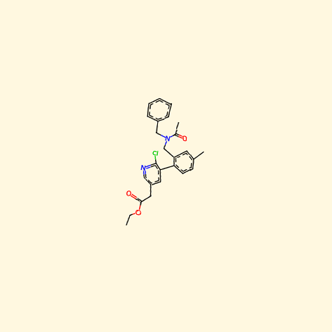 CCOC(=O)Cc1cnc(Cl)c(-c2ccc(C)cc2CN(Cc2ccccc2)C(C)=O)c1